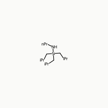 CCCN[Si](CC(C)C)(CC(C)C)CC(C)C